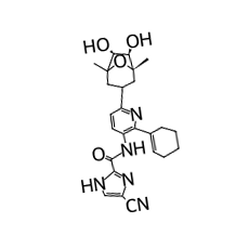 CC12CC(c3ccc(NC(=O)c4nc(C#N)c[nH]4)c(C4=CCCCC4)n3)C[C@](C)(O1)[C@H](O)[C@@H]2O